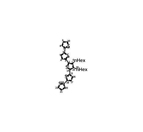 CCCCCCc1c(-c2ccc(-c3cccs3)s2)sc(-c2ccc(-c3cccs3)s2)c1CCCCCC